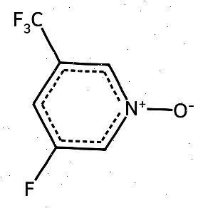 [O-][n+]1cc(F)cc(C(F)(F)F)c1